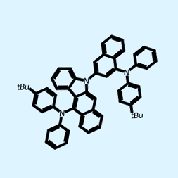 CC(C)(C)c1ccc(N(c2ccccc2)c2cc(-n3c4ccccc4c4c(N(c5ccccc5)c5ccc(C(C)(C)C)cc5)c5ccccc5cc43)cc3ccccc23)cc1